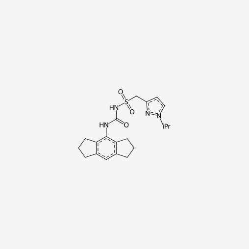 CC(C)n1ccc(CS(=O)(=O)NC(=O)Nc2c3c(cc4c2CCC4)CCC3)n1